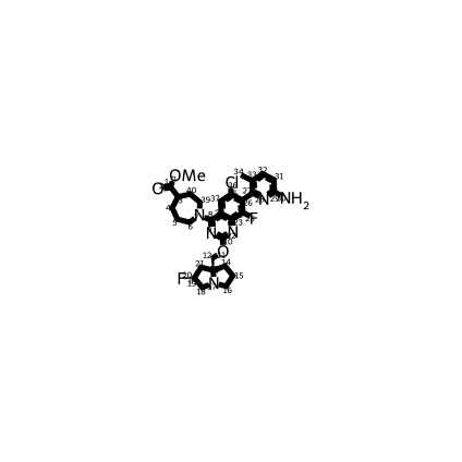 COC(=O)C1CCCN(c2nc(OC[C@@]34CCCN3C[C@H](F)C4)nc3c(F)c(-c4nc(N)ccc4C)c(Cl)cc23)CC1